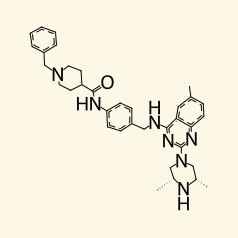 Cc1ccc2nc(N3C[C@@H](C)N[C@@H](C)C3)nc(NCc3ccc(NC(=O)C4CCN(Cc5ccccc5)CC4)cc3)c2c1